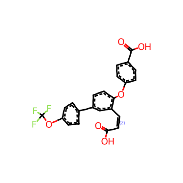 O=C(O)/C=C\c1cc(-c2ccc(OC(F)(F)F)cc2)ccc1Oc1ccc(C(=O)O)cc1